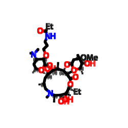 CCC(=O)NCCCO[C@H]1[C@H](O[C@@H]2[C@@H](C)[C@H](O[C@H]3C[C@@](C)(OC)[C@@H](O)[C@H](C)O3)[C@@H](C)C(=O)O[C@H](CC)[C@@](C)(O)[C@H](O)[C@@H](C)N(C)C[C@H](C)C[C@@]2(C)O)O[C@H](C)C[C@@H]1N(C)C